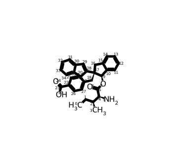 CC[C@H](C)[C@H](N)C(=O)O[C@@H]1c2ccccc2C[C@@]1(Cc1ccc(C(=O)O)cc1)C1=Cc2ccccc2C1